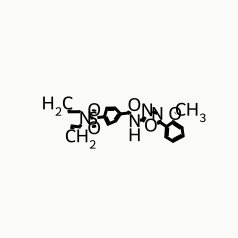 C=CCN(CC=C)S(=O)(=O)c1ccc(C(=O)Nc2nnc(-c3ccccc3OC)o2)cc1